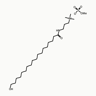 COS(=O)(=O)[O-].C[N+](C)(C)CCCNC(=O)CCCCCCCCCCCCCCCCCO